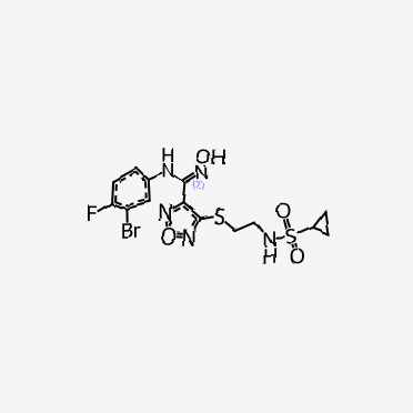 O=S(=O)(NCCSc1nonc1/C(=N/O)Nc1ccc(F)c(Br)c1)C1CC1